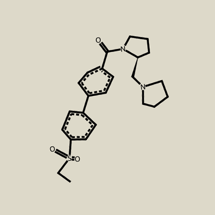 CCS(=O)(=O)c1ccc(-c2ccc(C(=O)N3CCC[C@H]3CN3CCCC3)cc2)cc1